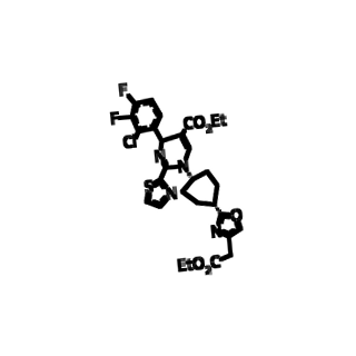 CCOC(=O)Cc1coc([C@H]2CC[C@@H](N3C=C(C(=O)OCC)C(c4ccc(F)c(F)c4Cl)N=C3c3nccs3)CC2)n1